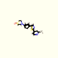 [O-][S+]1CCN(c2ccc(-c3cnc(-c4ccnc(C(F)(F)F)c4)s3)cc2)CC1